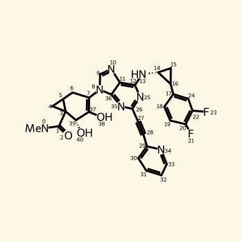 CNC(=O)C12CC1CC(n1cnc3c(N[C@@H]4CC4c4ccc(F)c(F)c4)nc(C#Cc4ccccn4)nc31)=C(O)[C@@H]2O